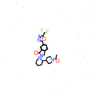 CC(=O)N1CCC(C2CCCCN2N2Cc3ccc(-c4nnc(C(F)F)o4)cc3C2=O)CC1